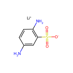 Nc1ccc(N)c(S(=O)(=O)[O-])c1.[Li+]